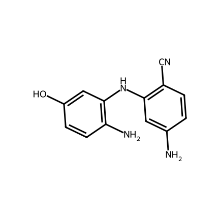 N#Cc1ccc(N)cc1Nc1cc(O)ccc1N